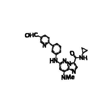 CNc1cc(Nc2cccc(-c3ccc(C=O)cn3)c2)nn2c(C(=O)NC3CC3)cnc12